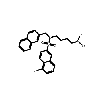 CCN(CC)CCCCN(Cc1ccc2ccccc2c1)S(=O)(=O)c1ccc2c(Cl)cccc2c1